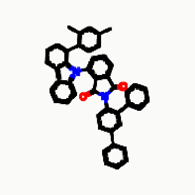 Cc1ccc(-c2cccc3c4ccccc4n(-c4cccc5c4C(=O)N(c4ccc(-c6ccccc6)cc4-c4ccccc4)C5=O)c23)c(C)c1